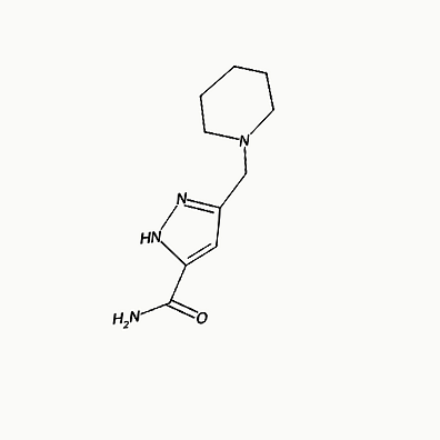 NC(=O)c1cc(CN2CCCCC2)n[nH]1